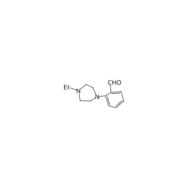 CCN1CCN(c2ccccc2C=O)CC1